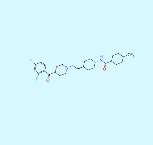 O=C(N[C@H]1CC[C@H](CCN2CCC(C(=O)c3ccc(F)cc3F)CC2)CC1)C1CCC(C(F)(F)F)CC1